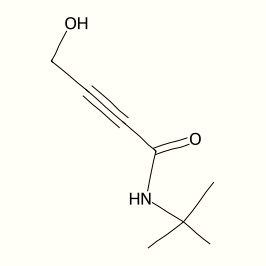 CC(C)(C)NC(=O)C#CCO